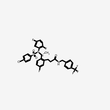 C[C@H](c1ccc(F)cc1CCC(=O)NCc1ccc(C(F)(F)F)cc1)N(c1cc(F)ccc1F)S(=O)(=O)c1ccc(Cl)cc1